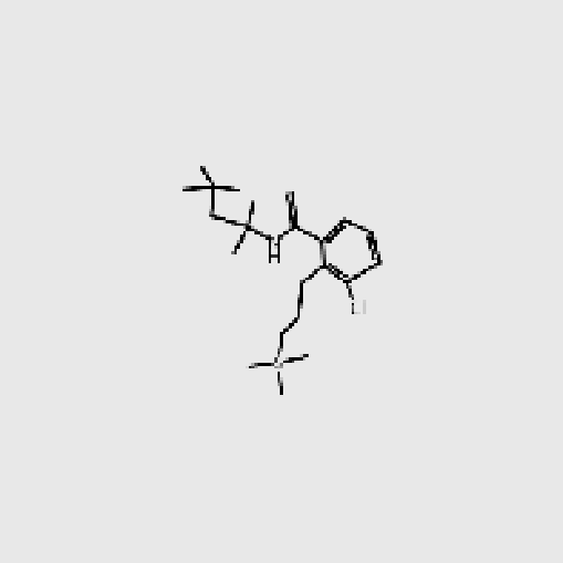 C=C(NC(C)(C)CC(C)(C)C)c1cccc(Cl)c1CCCS(C)(C)C